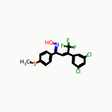 CSc1ccc(C(C=C(c2cc(Cl)cc(Cl)c2)C(F)(F)F)=NO)cc1